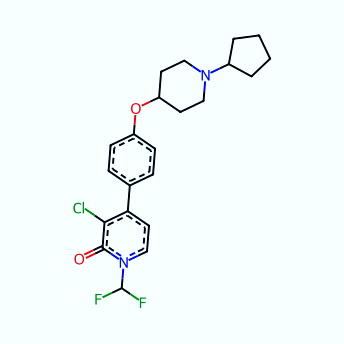 O=c1c(Cl)c(-c2ccc(OC3CCN(C4CCCC4)CC3)cc2)ccn1C(F)F